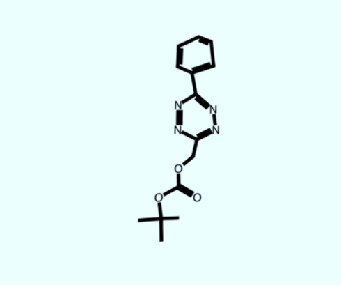 CC(C)(C)OC(=O)OCc1nnc(-c2ccccc2)nn1